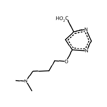 CN(C)CCCOc1cc(C(=O)O)ncn1